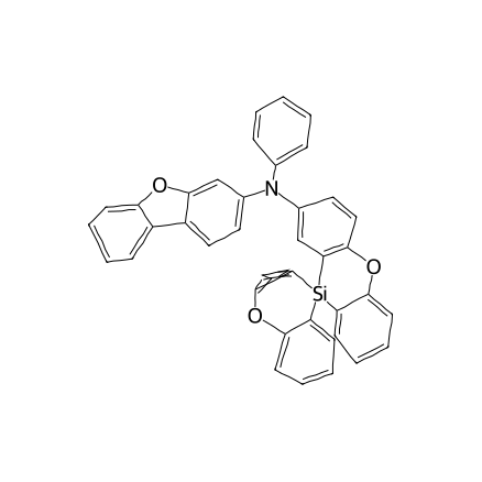 c1ccc(N(c2ccc3c(c2)[Si]2(c4ccccc4Oc4ccccc42)c2ccccc2O3)c2ccc3c(c2)oc2ccccc23)cc1